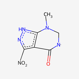 CN1C[N]C(=O)c2c([N+](=O)[O-])n[nH]c21